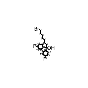 OC(CCCCCCCBr)(c1ccc(F)cc1)c1ccc(F)cc1